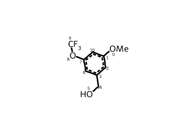 COc1cc([CH]O)cc(OC(F)(F)F)c1